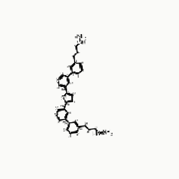 NNCCCc1cccc(-c2cncc(-c3ccc(-c4cncc(-c5cccc(CCCNN)c5)c4)s3)c2)c1